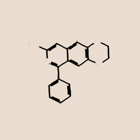 Cc1cc2cc3c(cc2c(-c2ccccc2)n1)OCCO3